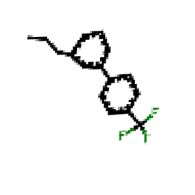 CCCc1cccc(-c2ccc(C(F)(F)F)cc2)c1